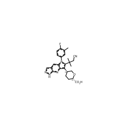 Cc1cc(-n2c(C(C)(C)CC#N)c([C@@H]3CC[C@@H](C(=O)O)OC3)c3nc4[nH]ncc4cc32)ccc1F